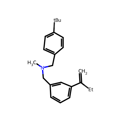 C=C(CC)c1cccc(CN(C)Cc2ccc(C(C)(C)C)cc2)c1